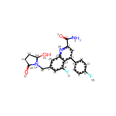 NC(=O)c1cc(-c2ccc(F)cc2)c2c(F)cc(CN3C(=O)CCC3O)cc2n1